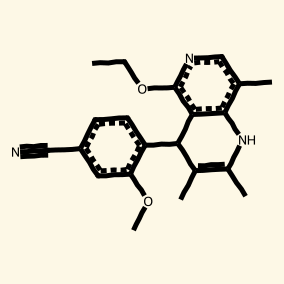 CCOc1ncc(C)c2c1C(c1ccc(C#N)cc1OC)C(C)=C(C)N2